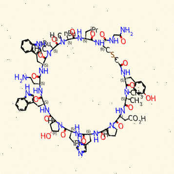 CCCC[C@H]1C(=O)N(C)[C@@H](CCCC)C(=O)N[C@@H](CC(C)C)C(=O)N[C@H](C(=O)NCC(N)=O)CSCC(=O)N[C@@H](Cc2ccc(O)cc2)C(=O)N(C)[C@@H](C)C(=O)N[C@@H](CC(=O)O)C(=O)N2CCC[C@H]2C(=O)N[C@@H](Cc2cnc[nH]2)C(=O)N[C@@H](CC(C)C)C(=O)N2C[C@H](O)C[C@H]2C(=O)N[C@@H](Cc2c[nH]c3ccccc23)C(=O)N[C@@H](CCN)C(=O)N[C@@H](Cc2c[nH]c3ccccc23)C(=O)N1C